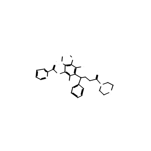 COc1c(O)c(C(CCC(=O)N2CCOCC2)c2ccccc2)c(C)c(OC(=O)c2ccccn2)c1OC